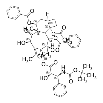 CC(=O)O[C@@]12CC[C@@H]1C[C@H](OC(=O)c1ccccc1)[C@@]1(C)C(=O)[C@H](O)C3=C(C)[C@@H](OC(=O)[C@H](O)[C@@H](NC(=O)OC(C)(C)C)c4ccccc4)C[C@@](O)([C@@H](OC(=O)c4ccccc4)C12)C3(C)C